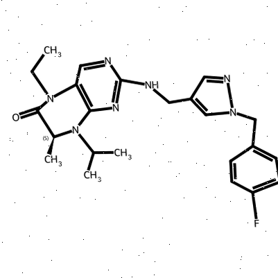 CCN1C(=O)[C@H](C)N(C(C)C)c2nc(NCc3cnn(Cc4ccc(F)cc4)c3)ncc21